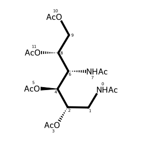 CC(=O)NC[C@H](OC(C)=O)[C@@H](OC(C)=O)[C@@H](NC(C)=O)[C@@H](COC(C)=O)OC(C)=O